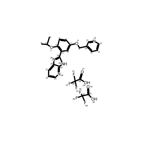 CC(C)Oc1ccc(OCc2cccnc2)cc1-c1nc2cccnc2[nH]1.O=C(O)C(F)(F)F.O=C(O)C(F)(F)F